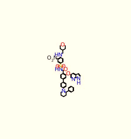 O=C(NS(=O)(=O)c1ccc(NCC2CCOCC2)c([N+](=O)[O-])c1)c1ccc(-c2ccc(N3CCCCC3c3ccccc3)cc2)cc1Oc1cnc2[nH]ccc2c1